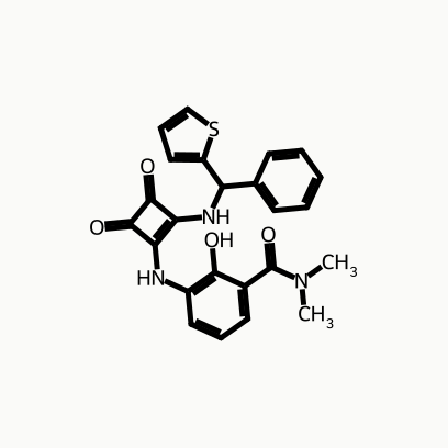 CN(C)C(=O)c1cccc(Nc2c(NC(c3ccccc3)c3cccs3)c(=O)c2=O)c1O